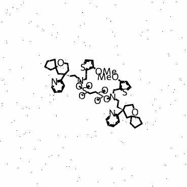 COc1ccsc1CN(CC[C@@]1(c2ccccn2)CCOC2(CCCC2)C1)OS(=O)(=O)CCS(=O)(=O)ON(CC[C@@]1(c2ccccn2)CCOC2(CCCC2)C1)Cc1sccc1OC